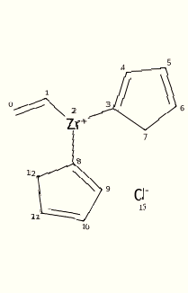 C=[CH][Zr+]([C]1=CC=CC1)[C]1=CC=CC1.[Cl-]